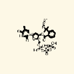 Cc1cn([C@H]2CC(OC(=O)c3ccccc3C(C)(C)N=[N+]=[N-])[C@@H](COP(=O)(O)OP(=O)(O)OP(=O)(O)O)O2)c(=O)[nH]c1=O